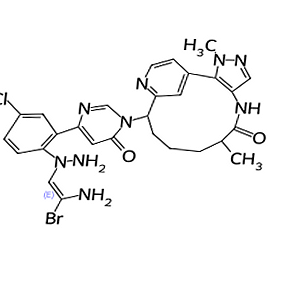 CC1CCCC(n2cnc(-c3cc(Cl)ccc3N(N)/C=C(\N)Br)cc2=O)c2cc(ccn2)-c2c(cnn2C)NC1=O